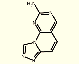 Nc1ncc2ccc3nncn3c2n1